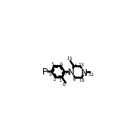 Cc1cc(F)ccc1N1CCN(C)CC1C